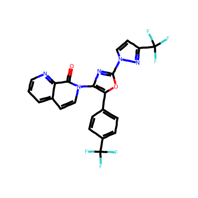 O=c1c2ncccc2ccn1-c1nc(-n2ccc(C(F)(F)F)n2)oc1-c1ccc(C(F)(F)F)cc1